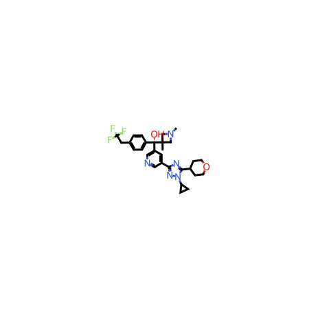 CN1CC(C)([C@](O)(c2ccc(CC(F)(F)F)cc2)c2cncc(-c3nc(C4CCOCC4)n(C4CC4)n3)c2)C1